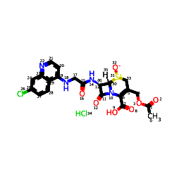 CC(=O)OCC1=C(C(=O)O)N2C(=O)[C@@H](NC(=O)CNc3ccnc4cc(Cl)ccc34)[C@H]2[S+]([O-])C1.Cl